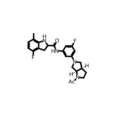 CC(=O)N1CC[C@@H]2CN(c3cc(F)cc(NC(=O)C4Cc5c(F)ccc(C)c5N4)c3)C[C@@H]21